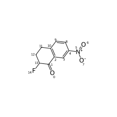 O=C1c2cc([N+](=O)[O-])ccc2CCC1F